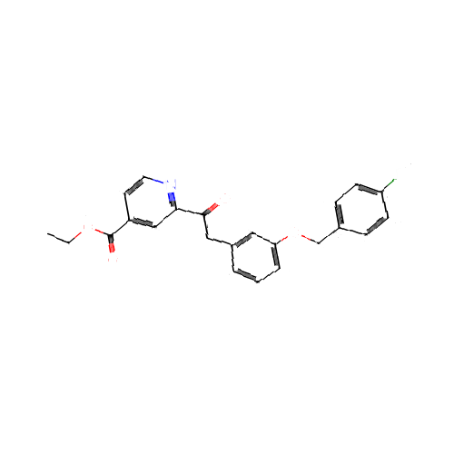 CCOC(=O)c1ccnc(C(=O)Cc2cccc(OCc3ccc(F)cc3)c2)c1